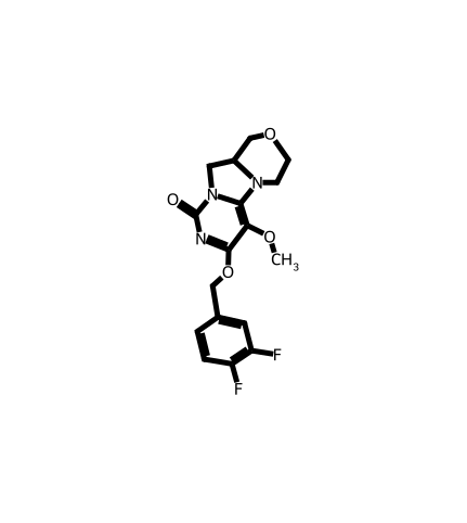 COc1c(OCc2ccc(F)c(F)c2)nc(=O)n2c1N1CCOCC1C2